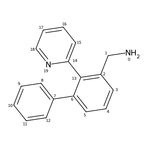 NCc1cccc(-c2ccccc2)c1-c1ccccn1